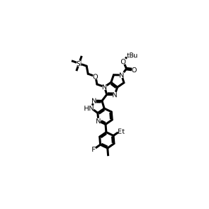 CCc1cc(C)c(F)cc1-c1ccc2c(-c3nc4c(n3COCC[Si](C)(C)C)CN(C(=O)OC(C)(C)C)C4)n[nH]c2n1